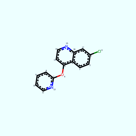 Clc1ccc2c(Oc3ccccn3)ccnc2c1